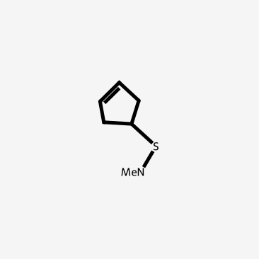 CNSC1CC=CC1